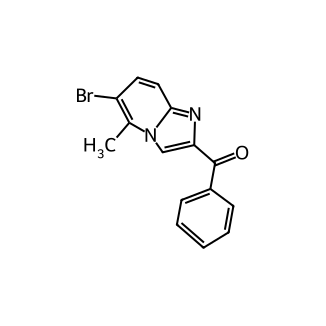 Cc1c(Br)ccc2nc(C(=O)c3ccccc3)cn12